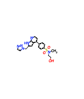 CN(CCO)S(=O)(=O)c1ccc(-c2ccnc3[nH]c(Cn4ccnn4)cc23)cc1